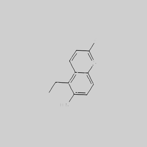 CCc1c(N)ccc2nc(Cl)ccc12